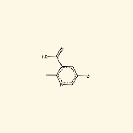 C=C(O)c1cc(Br)cnc1C